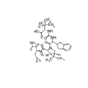 CC(C)(C)[C@H](NC(=O)N[C@H](C(=O)N1C[C@H]2[C@@H]([C@H]1C(=O)NC(CC1CC1)C(=O)C(N)=O)C2(C)C)C1Cc2ccccc2C1)C(=O)O